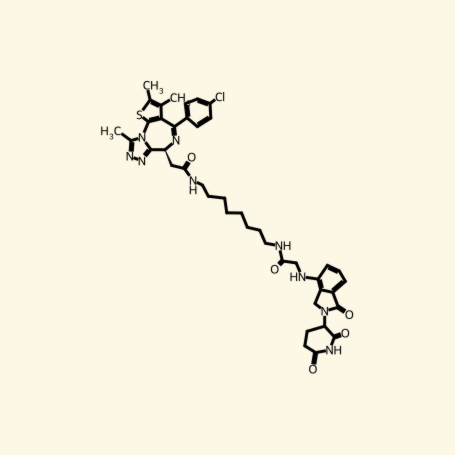 Cc1sc2c(c1C)C(c1ccc(Cl)cc1)=N[C@@H](CC(=O)NCCCCCCCCNC(=O)CNc1cccc3c1CN(C1CCC(=O)NC1=O)C3=O)c1nnc(C)n1-2